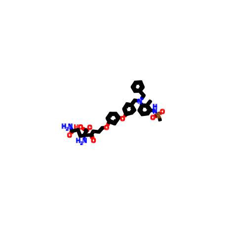 Cc1c(NS(C)(=O)=O)cccc1N(Cc1ccccc1)Cc1ccc(Oc2cccc(OCCCC(=O)[C@](N)(CCC(N)=O)C(=O)O)c2)cc1